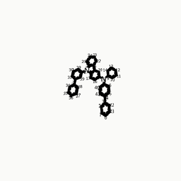 c1ccc(-c2ccc(N(c3ccccc3)c3ccc4c(c3)c3ccccc3n4-c3cccc(-c4ccccc4)c3)cc2)cc1